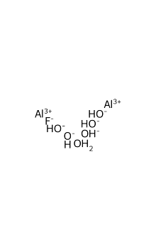 O.[Al+3].[Al+3].[F-].[OH-].[OH-].[OH-].[OH-].[OH-]